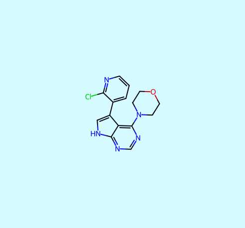 Clc1ncccc1-c1c[nH]c2ncnc(N3CCOCC3)c12